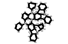 c1ccc(N2c3cccc4c3B(c3cc5c6ccccc6n6c7ccccc7c(c3N4c3ccccc3)c56)c3c2cc2c4ccccc4n4c5ccccc5c3c24)cc1